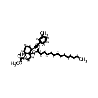 CCCCCCCCCCCCCC(=O)O[C@@]1(C#Cc2cccc(C)c2)CCC[C@@H]2[C@H]1CCN2C(=O)OC